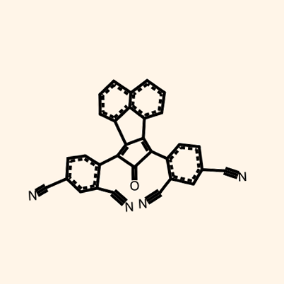 N#Cc1ccc(C2=C3C(=C(c4ccc(C#N)cc4C#N)C2=O)c2cccc4cccc3c24)c(C#N)c1